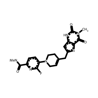 CNC(=O)c1ccc(N2CC=C(Cc3cc4[nH]c(=O)n(C)c(=O)c4s3)CC2)c(F)n1